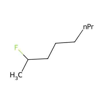 CCCCCCC(C)F